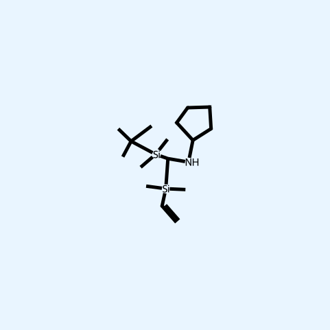 C=C[Si](C)(C)C(NC1CCCC1)[Si](C)(C)C(C)(C)C